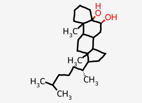 CC(C)CCC[C@@H](C)C1CCC2C3C[C@H](O)C4(O)CCCCC4(C)C3CCC21C